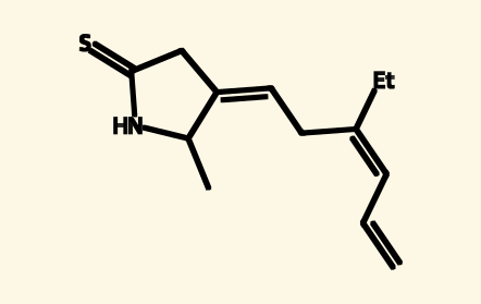 C=C/C=C(/CC)C/C=C1/CC(=S)NC1C